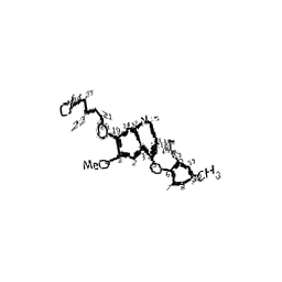 COc1cc2c(Oc3ccc(C)cc3F)ccnc2cc1OCCCCl